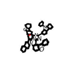 c1ccc(-n2c3ccccc3c3ccc(-c4nc(-c5ccc6oc7ccccc7c6c5)nc(-c5c(-n6c7ccccc7c7cc8ccccc8cc76)ccc6oc7ccccc7c56)n4)cc32)cc1